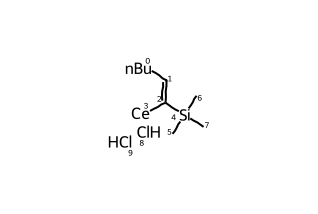 CCCCC=[C]([Ce])[Si](C)(C)C.Cl.Cl